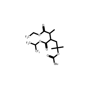 CC(C(=O)OCC(F)(F)F)C(CC(C)(C)OC(=O)C(C)(C)C)C(=O)OC(C(F)(F)F)C(F)(F)F